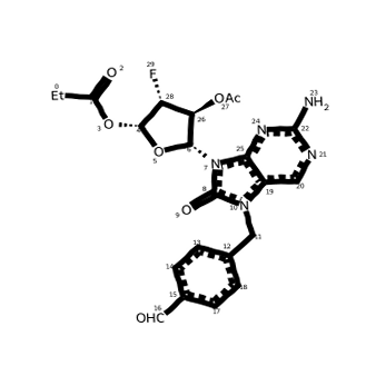 CCC(=O)O[C@H]1O[C@@H](n2c(=O)n(Cc3ccc(C=O)cc3)c3cnc(N)nc32)[C@H](OC(C)=O)[C@H]1F